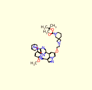 COc1ccc(CN2C3CC2CN(c2cnc(-c4cc(OCCN5CC6(CCCN(C(=O)OC(C)(C)C)C6)C5)cn5ncc(C#N)c45)cn2)C3)cn1